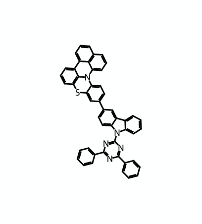 c1ccc(-c2nc(-c3ccccc3)nc(-n3c4ccccc4c4cc(-c5ccc6c(c5)sc5cccc7c5-n6c5cccc6cccc7c65)ccc43)n2)cc1